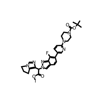 CC(C)(C)OC(=O)N1CCN(c2ccc(-c3ccc4cn(C(C(=O)OI)c5ncn6c5CCC6)nc4c3F)cn2)CC1